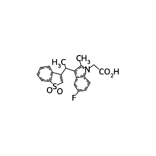 Cc1c(C(C)C2=CS(=O)(=O)c3ccccc32)c2cc(F)ccc2n1CC(=O)O